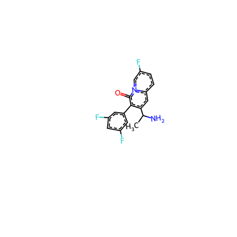 CC(N)c1cc2ccc(F)cn2c(=O)c1-c1cc(F)cc(F)c1